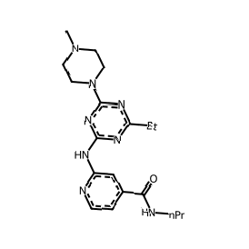 CCCNC(=O)c1ccnc(Nc2nc(CC)nc(N3CCN(C)CC3)n2)c1